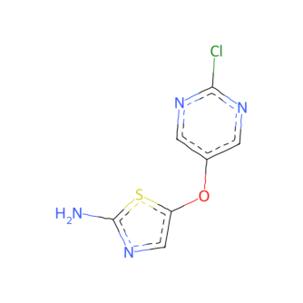 Nc1ncc(Oc2cnc(Cl)nc2)s1